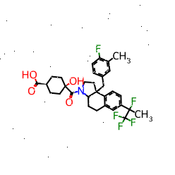 Cc1cc(CC23CCN(C(=O)[C@]4(O)CC[C@@H](C(=O)O)CC4)C2CCc2cc(C(C)(F)C(F)(F)F)ccc23)ccc1F